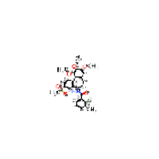 COc1cc2c(c(OC)c1OC)-c1ccc(S(C)(=O)=O)cc1[C@@H](NC(=O)c1cccc(C)c1Cl)CC2